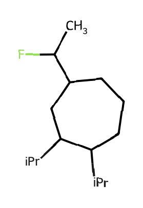 CC(C)C1CCCC(C(C)F)CC1C(C)C